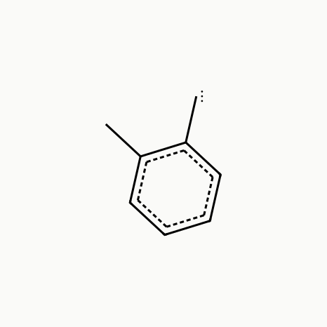 [C]c1ccccc1C